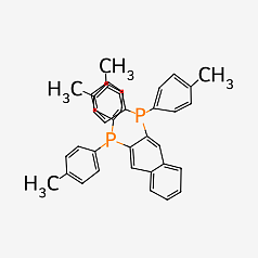 Cc1ccc(P(c2ccc(C)cc2)c2cc3ccccc3cc2P(c2ccc(C)cc2)c2ccc(C)cc2)cc1